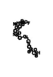 N#Cc1c(NS(=O)(=O)N2CC[C@@H](F)C2)ccc(F)c1Oc1ccc2ncn(-c3cccc(C4CCN(CC5CCN(c6ccc7c(c6)CN([C@H]6CCC(=O)NC6=O)C7=O)CC5)C4)c3)c(=O)c2c1